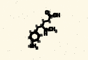 Bc1ccc(CC(CCC(=O)O)NC)cc1